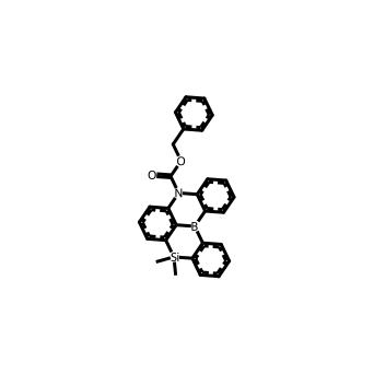 C[Si]1(C)c2ccccc2B2c3ccccc3N(C(=O)OCc3ccccc3)c3cccc1c32